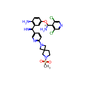 CS(=O)(=O)N1CCC2(CN(c3ccc(C(=N)c4cc(O[C@H](N)c5c(Cl)cncc5Cl)ccc4N)cn3)C2)C1